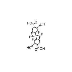 C#Cc1cc(C(c2ccc(C(=O)O)c(C#C)c2)(C(F)(F)F)C(F)(F)F)ccc1C(=O)O